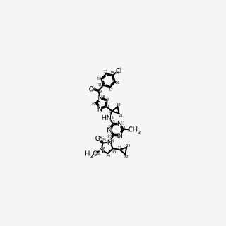 Cc1nc(NC2(c3cn(C(=O)c4ccc(Cl)cc4)cn3)CC2)nc(N2C(=O)N(C)CC2C2CC2)n1